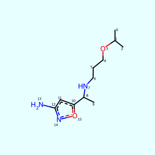 CC(C)OCCCNC(C)c1cc(N)no1